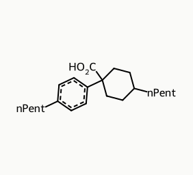 CCCCCc1ccc(C2(C(=O)O)CCC(CCCCC)CC2)cc1